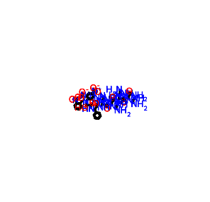 N=C(N)NC(NC(=O)C(NC(=N)N)NC(=O)C(NC(=N)N)NC(=O)C(NC(=N)N)NC(=O)C(NC(=O)C(O)N(Cc1ccccc1[N+](=O)[O-])c1cc(N)c([N+](=O)[O-])cc1[N+](=O)[O-])c1ccccc1)C(N)=O